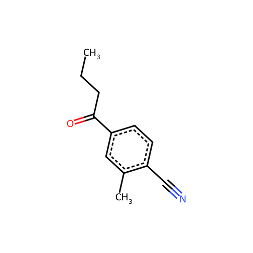 CCCC(=O)c1ccc(C#N)c(C)c1